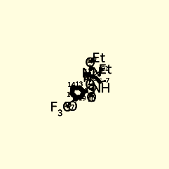 CCOc1nnc([C@@H](C)NS(=O)(=O)c2cccc(OC(F)(F)F)c2)n1CC